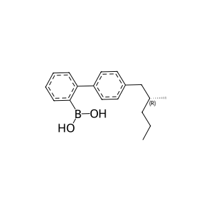 CCC[C@@H](C)Cc1ccc(-c2ccccc2B(O)O)cc1